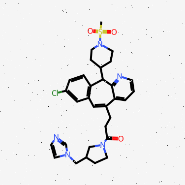 CS(=O)(=O)N1CCC(C2c3ccc(Cl)cc3C=C(CCC(=O)N3CCC(Cn4ccnc4)C3)c3cccnc32)CC1